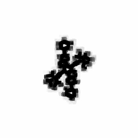 CC(C)[Si](C#Cc1c2sc3cc(-c4ccccc4)sc3c2c(C#C[Si](C(C)C)(C(C)C)C(C)C)c2sc3cc(-c4ccccc4)sc3c12)(C(C)C)C(C)C